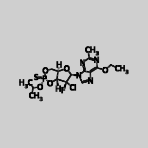 CCOc1nc(C)nc2c1ncn2[C@@H]1O[C@@H]2CO[P@@](=S)(OC(C)C)O[C@H]2[C@@]1(F)Cl